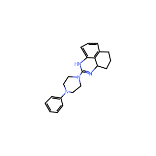 c1ccc(N2CCN(C3=NC4CCCc5cccc(c54)N3)CC2)cc1